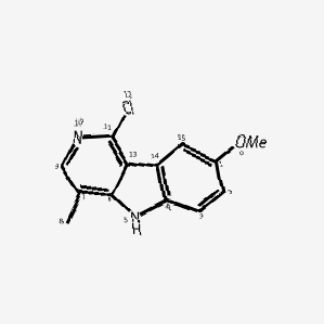 COc1ccc2[nH]c3c(C)cnc(Cl)c3c2c1